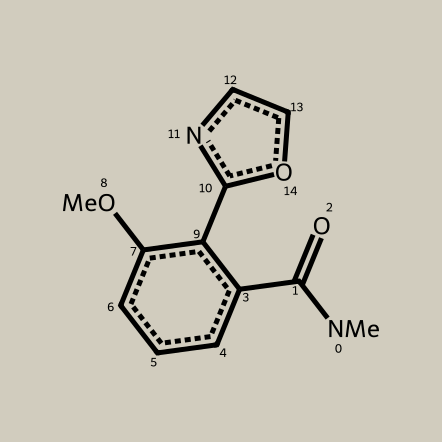 CNC(=O)c1cccc(OC)c1-c1ncco1